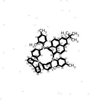 Cc1ccc(N2c3cccc(c3)S3(c4cccc(c4)N(c4ccc(C)cc4C)c4cc2c2ccc5cc(C(C)(C)C)cc6ccc4c2c56)c2ccccc2-c2ccccc23)c(C)c1